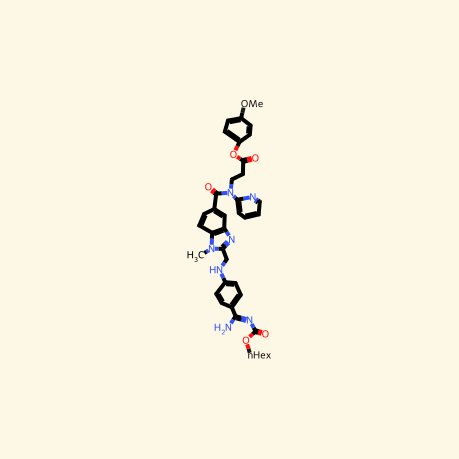 CCCCCCOC(=O)N=C(N)c1ccc(NCc2nc3cc(C(=O)N(CCC(=O)Oc4ccc(OC)cc4)c4ccccn4)ccc3n2C)cc1